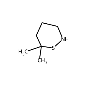 CC1(C)CCCNS1